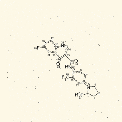 CC1CCCN1c1ccc(NC(=O)c2c[nH]c3ccc(F)cc3c2=O)c(C(F)(F)F)c1